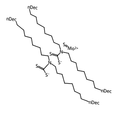 CCCCCCCCCCCCCCCCCCN(CCCCCCCCCCCCCCCCCC)C(=S)[S-].CCCCCCCCCCCCCCCCCCN(CCCCCCCCCCCCCCCCCC)C(=S)[S-].[S]=[Mo+2]